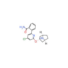 NC(=O)c1ccccc1-c1cc(Cl)cc(O[C@@H]2C[C@H]3CC[C@@H](C2)N3)n1